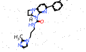 Cc1nccn1CCCNC(=O)N1c2nc(-c3cccc(C(F)(F)F)c3)ccc2N2CC[C@@H]21